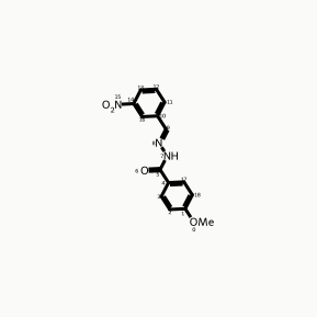 COc1ccc(C(=O)NN=Cc2cccc([N+](=O)[O-])c2)cc1